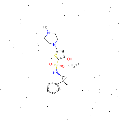 CC(C)N1CCN(c2ccc(S(=O)(=O)N[C@H]3C[C@]3(C)c3ccccc3)s2)CC1.O=C(O)O